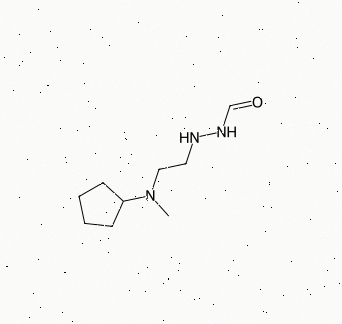 CN(CCNNC=O)C1CCCC1